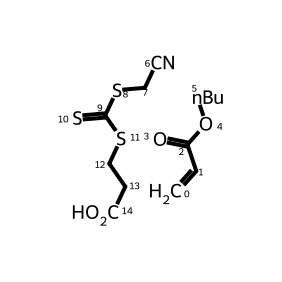 C=CC(=O)OCCCC.N#CCSC(=S)SCCC(=O)O